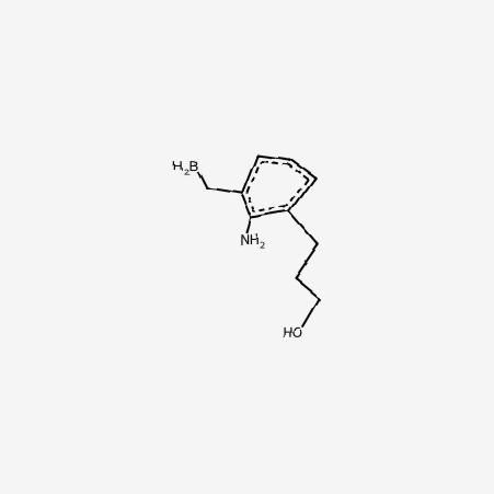 BCc1cccc(CCCO)c1N